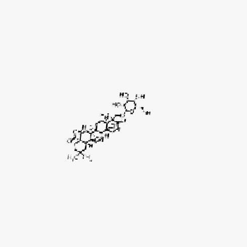 CC1(C)CC[C@]2(C(=O)O)CC[C@]3(CO)C(=CC[C@@H]4[C@@]5(C)CCC(=O)[C@@](C)(CO[C@@H]6O[C@H](CO)[C@@H](O)[C@H](O)[C@H]6O)[C@@H]5CC[C@]43C)[C@@H]2C1